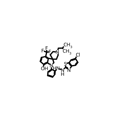 CC(C)CN1CCC2(CC1)CN(c1ccccc1NNc1nc3ccc(Cl)cc3s1)c1c(O)ccc(C(F)(F)F)c12